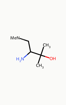 CNCC(N)C(C)(C)O